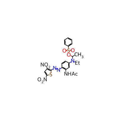 CCN(c1ccc(/N=N/c2sc([N+](=O)[O-])cc2[N+](=O)[O-])c(NC(C)=O)c1)C(C)OS(=O)(=O)c1ccccc1